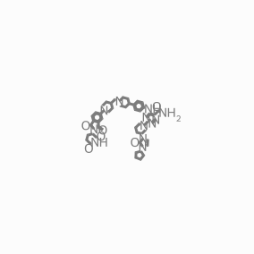 NC(=O)c1nnc(N2CCCC(N3CCN(C4CCCC4)C3=O)C2)nc1Nc1ccc(C2CCN(CC3CCN(c4ccc5c(c4)C(=O)N(C4CCC(=O)NC4=O)C5=O)CC3)CC2)cc1